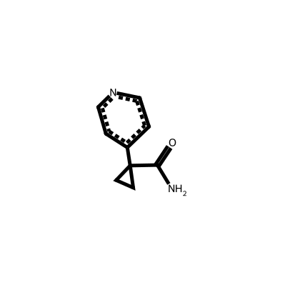 NC(=O)C1(c2ccncc2)CC1